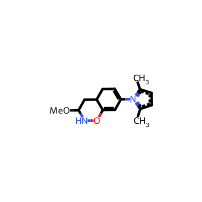 COC1CC2CC=C(n3c(C)ccc3C)C=C2ON1